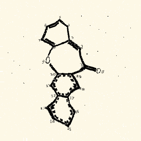 O=C1C=C2CC=CC=C2Oc2cc3ccccc3cc21